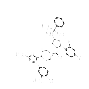 Cc1nc(C2CCN(C(=O)[C@@H]3CC(NC(C)(C)c4ccccc4)C[C@H]3c3ccc(F)cc3F)CC2)n(-c2ccc(Cl)c(C)c2)n1